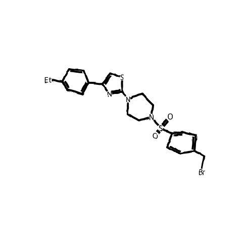 CCc1ccc(-c2csc(N3CCN(S(=O)(=O)c4ccc(CBr)cc4)CC3)n2)cc1